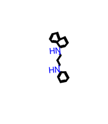 c1ccc(NCCCNc2cccc3ccccc23)cc1